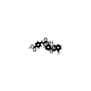 COC(=O)c1ccc(/C=C2\Sc3ccc(S(=O)(=O)Cc4c(C)cccc4C)cc3NC2=O)cc1